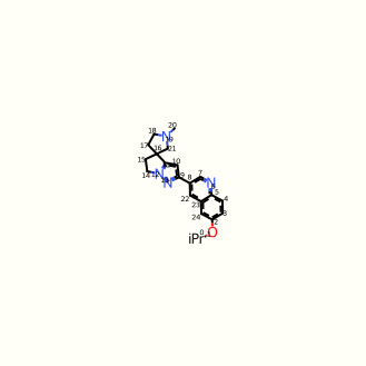 CC(C)Oc1ccc2ncc(-c3cc4n(n3)CCC43CCN(C)C3)cc2c1